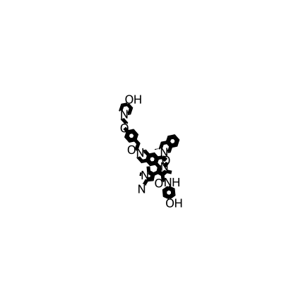 Cc1c(-c2c(C(=O)Nc3ccc(O)cc3)c(C)n(C)c2-c2cc3c(cc2C(=O)N2Cc4ccccc4C[C@H]2C)CN(C(=O)Cc2ccc(OCCN4CCC(O)CC4)cc2)CC3)cc(C#N)n1C